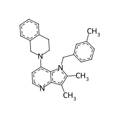 Cc1cccc(Cn2c(C)c(C)c3nccc(N4CCc5ccccc5C4)c32)c1